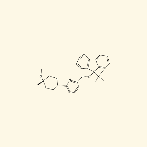 CO[C@]1(C)CC[C@H](c2nccc(CO[Si](c3ccccc3)(c3ccccc3)C(C)(C)C)n2)CC1